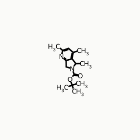 Cc1cc(C)c2c(n1)CN(C(=O)OC(C)(C)C)C2C